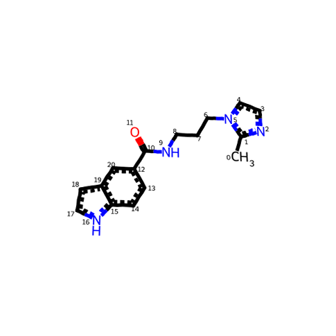 Cc1nccn1CCCNC(=O)c1ccc2[nH]ccc2c1